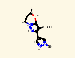 CCn1cc(-c2nn3c(c2C(=O)O)O[C@H](C)CC3)cn1